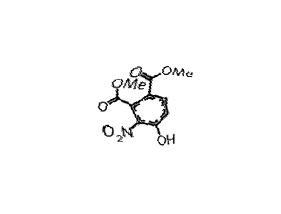 COC(=O)c1ccc(O)c([N+](=O)[O-])c1C(=O)OC